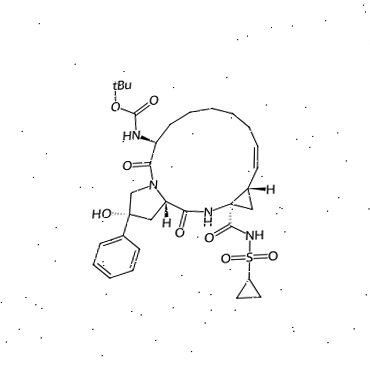 CC(C)(C)OC(=O)N[C@H]1CCCCC/C=C\[C@@H]2C[C@@]2(C(=O)NS(=O)(=O)C2CC2)NC(=O)[C@@H]2C[C@@](O)(c3ccccc3)CN2C1=O